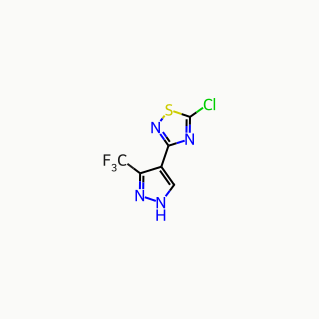 FC(F)(F)c1n[nH]cc1-c1nsc(Cl)n1